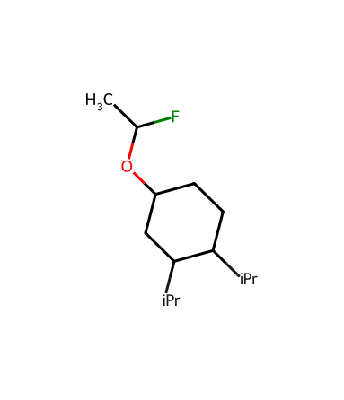 CC(F)OC1CCC(C(C)C)C(C(C)C)C1